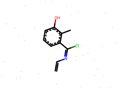 C=C/N=C(/Cl)c1cccc(O)c1C